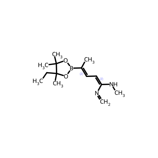 C=N/C(=C\C=C(/C)B1OC(C)(C)C(C)(CC)O1)NC